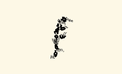 COc1ccc(CNC(=O)N2CCN(C3CC4(CCN(c5ccc(C(=O)NS(=O)(=O)c6ccc(NCC7CCC(C)(O)CC7)c([N+](=O)[O-])c6)c(Oc6cnc7[nH]ccc7c6)c5)CC4)C3)C(c3ccccc3C(C)C)C2)cc1